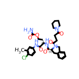 Cc1cc(NC(=O)[C@H](CCOC(N)=O)NC(=O)[C@@H]2Cc3ccccc3CN2C(=O)CCC(=O)N2CCCCC2)ccc1Cl